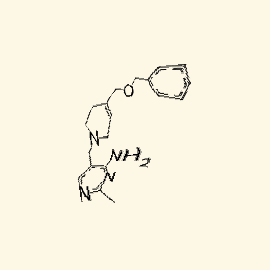 Cc1ncc(CN2CC=C(COCc3ccccc3)CC2)c(N)n1